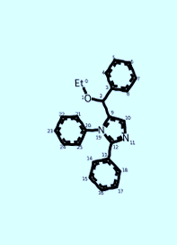 CCOC(c1ccccc1)c1cnc(-c2ccccc2)n1-c1ccccc1